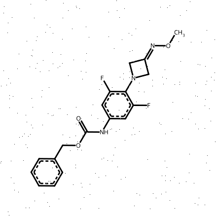 CON=C1CN(c2c(F)cc(NC(=O)OCc3ccccc3)cc2F)C1